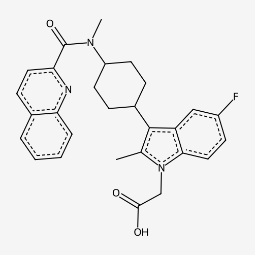 Cc1c(C2CCC(N(C)C(=O)c3ccc4ccccc4n3)CC2)c2cc(F)ccc2n1CC(=O)O